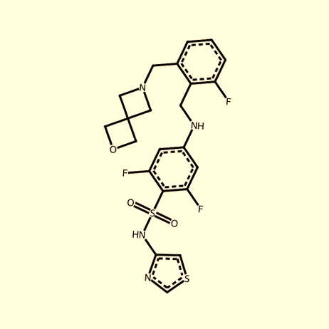 O=S(=O)(Nc1cscn1)c1c(F)cc(NCc2c(F)cccc2CN2CC3(COC3)C2)cc1F